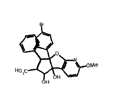 COc1ccc2c(n1)OC1(c3ccc(Br)cc3)C(c3ccccc3)C(C(=O)O)C(O)C21O